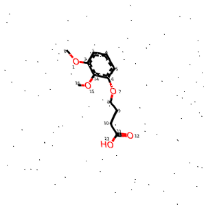 COc1[c]ccc(OCCCC(=O)O)c1OC